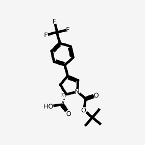 CC(C)(C)OC(=O)N1C=C(c2ccc(C(F)(F)F)cc2)C[C@H]1C(=O)O